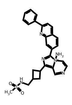 CS(=O)(=O)NCC1CC(C2=C3C=NC=C[N+]3(N)C(c3ccc4ccc(-c5ccccc5)nc4c3)=N2)C1